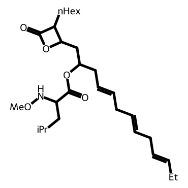 CC/C=C/C/C=C/C/C=C/CC(CC1OC(=O)C1CCCCCC)OC(=O)C(CC(C)C)NOC